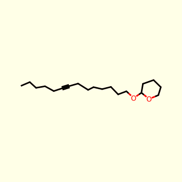 CCCCCC#CCCCCCCCOC1CCCCO1